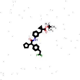 CC(C)(C)OC(=O)C1(Cc2cccc(NC(=O)C(c3ccc(CC(F)F)cc3)C3CCCC3)c2)CC1